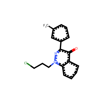 O=c1c(-c2cccc(C(F)(F)F)c2)nn(CCCCl)c2ccccc12